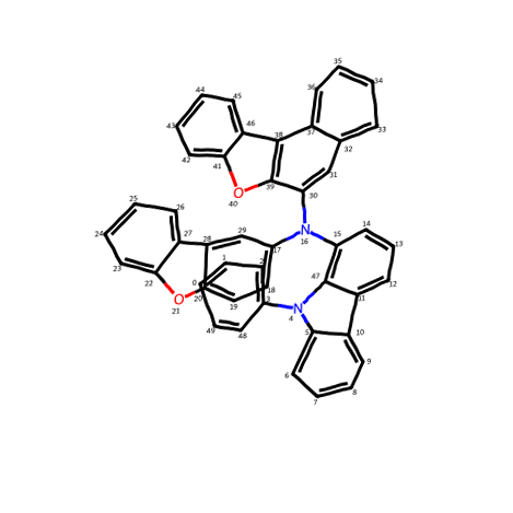 c1ccc(-n2c3ccccc3c3cccc(N(c4ccc5oc6ccccc6c5c4)c4cc5ccccc5c5c4oc4ccccc45)c32)cc1